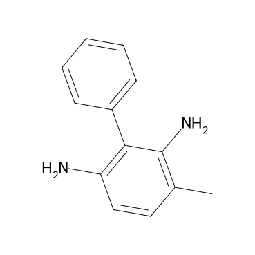 Cc1ccc(N)c(-c2ccccc2)c1N